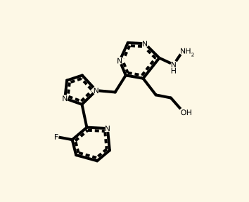 NNc1ncnc(Cn2ccnc2-c2ncccc2F)c1CCO